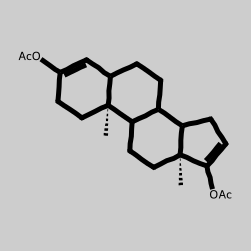 CC(=O)OC1=CC2CCC3C(CC[C@]4(C)C(OC(C)=O)=CCC34)[C@@]2(C)CC1